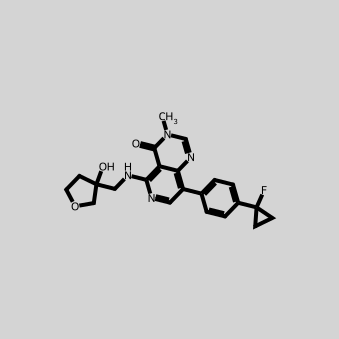 Cn1cnc2c(-c3ccc(C4(F)CC4)cc3)cnc(NCC3(O)CCOC3)c2c1=O